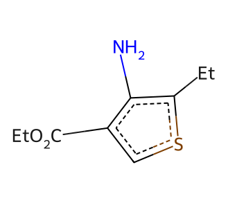 CCOC(=O)c1csc(CC)c1N